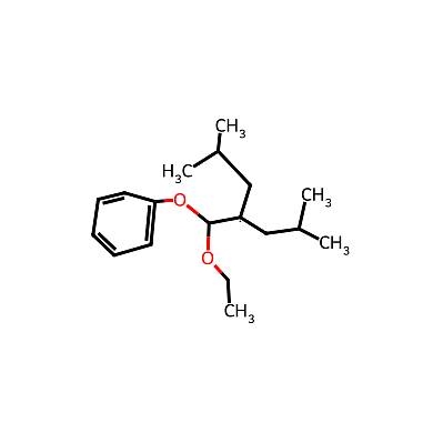 CCOC(Oc1ccccc1)[C](CC(C)C)CC(C)C